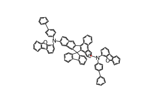 c1ccc(-c2ccc(N(c3ccc4cc5c(cc4c3)C3(c4ccccc4-c4ccccc43)c3c-5c4ccccc4c4cc(N(c5ccc(-c6ccccc6)cc5)c5cccc6c5oc5ccccc56)ccc34)c3cccc4c3oc3ccccc34)cc2)cc1